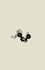 COc1ccc(-c2ccc3ncc(-c4cccc(Cl)c4)n3n2)cc1OC